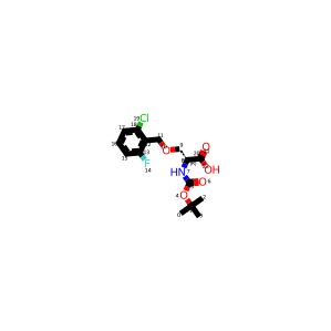 CC(C)(C)OC(=O)N[C@H](COCc1c(F)cccc1Cl)C(=O)O